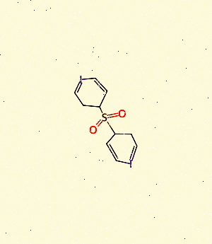 O=S(=O)(C1C=CI=CC1)C1C=CI=CC1